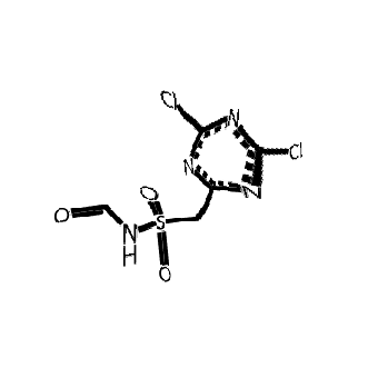 O=CNS(=O)(=O)Cc1nc(Cl)nc(Cl)n1